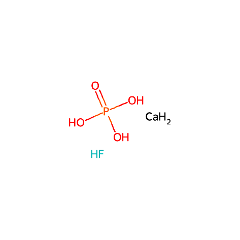 F.O=P(O)(O)O.[CaH2]